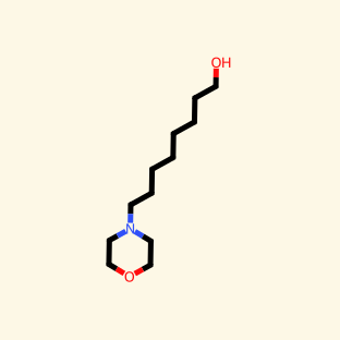 OCCCCCCCCN1CCOCC1